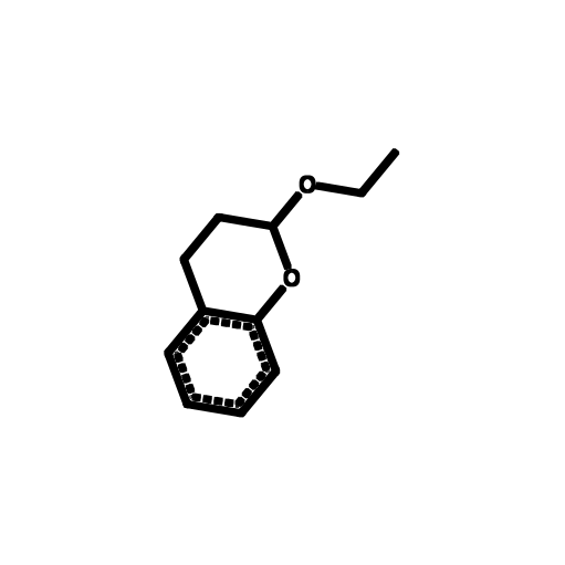 CCOC1CCc2ccccc2O1